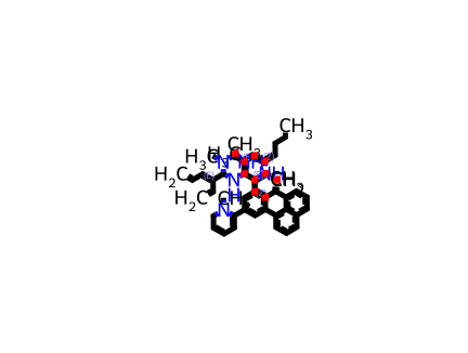 C=C/C=C(\C=C)C(NC(NC)C(/C=C\C(=C)c1cccc2cccc(-c3cc(C4=CC=CCN4C)cc(C4C=CC=CN4)c3)c12)=C/C)N(C)C(C)/C=C/C=C\CCC